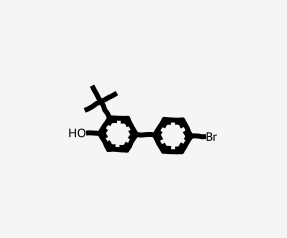 CC(C)(C)c1cc(-c2ccc(Br)cc2)ccc1O